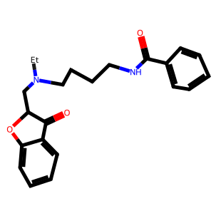 CCN(CCCCNC(=O)c1ccccc1)CC1Oc2ccccc2C1=O